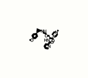 COc1ccc([C@@H]2C[C@H]2NCCOC[C@H](NC(=O)c2ccccn2)C(=O)N2CCN(C)CC2)cc1